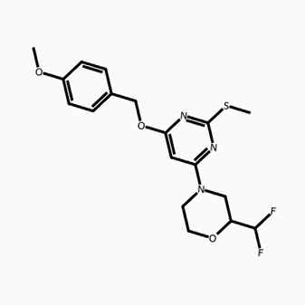 COc1ccc(COc2cc(N3CCOC(C(F)F)C3)nc(SC)n2)cc1